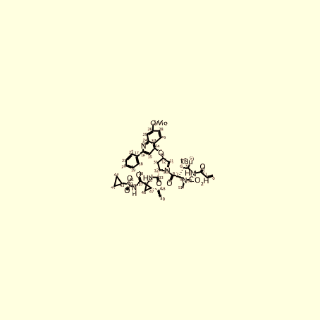 C=CC(=O)NC(C[C@@H](C(=O)N1C[C@H](Oc2cc(-c3ccccc3)nc3cc(OC)ccc23)C[C@H]1C(=O)N[C@]1(C(=O)NS(=O)(=O)C2CC2)C[C@H]1C=C)N(C)C(=O)O)C(C)(C)C